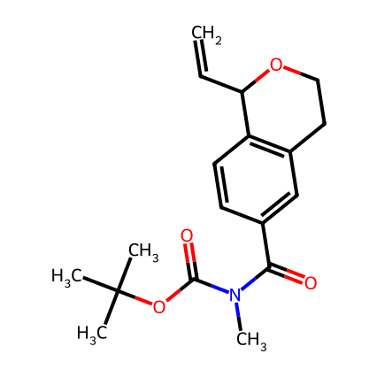 C=CC1OCCc2cc(C(=O)N(C)C(=O)OC(C)(C)C)ccc21